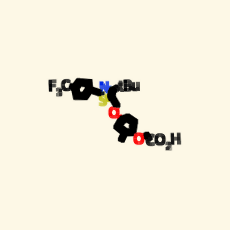 Cc1cc(OCc2sc(-c3ccc(C(F)(F)F)cc3)nc2C(C)(C)C)ccc1OCC(=O)O